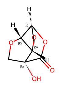 O=C1O[C@H]2CO[C@H]3[C@@H]2OC[C@]13O